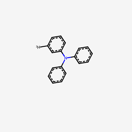 [3H]c1cccc(N(c2ccccc2)c2ccccc2)c1